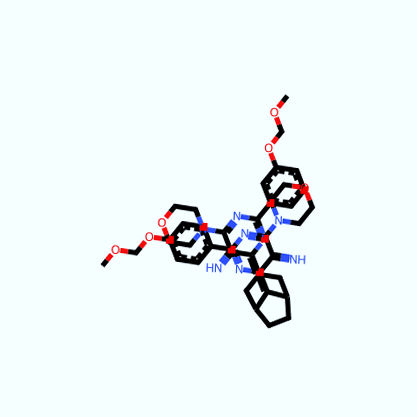 COCOc1ccc(C2=NC(=C3C4CCC3CC(=C3N=C(c5cccc(OCOC)c5)N=C(N5CCOCC5)C3=N)C4)C(=N)C(N3CCOCC3)=N2)cc1